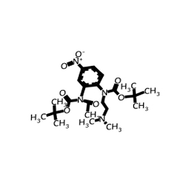 CC(=O)N(C(=O)OC(C)(C)C)c1cc([N+](=O)[O-])ccc1N(CCN(C)C)C(=O)OC(C)(C)C